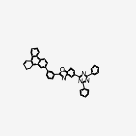 C1=Cc2c(c3cc(-c4cccc(-c5nc6cc(-c7nc(-c8ccccc8)nc(-c8ccccc8)n7)ccc6o5)c4)ccc3c3ccccc23)CC1